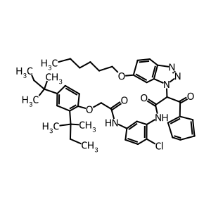 CCCCCCOc1ccc2nnn(C(C(=O)Nc3cc(NC(=O)COc4ccc(C(C)(C)CC)cc4C(C)(C)CC)ccc3Cl)C(=O)c3ccccc3)c2c1